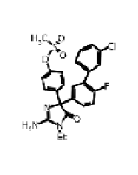 CCN1C(=O)C(c2ccc(OS(C)(=O)=O)cc2)(c2ccc(F)c(-c3cccc(Cl)c3)c2)N=C1N